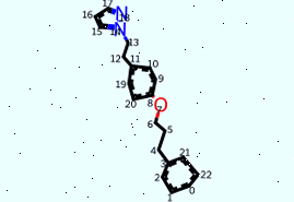 c1ccc(CCCOc2ccc(CCn3cccn3)cc2)cc1